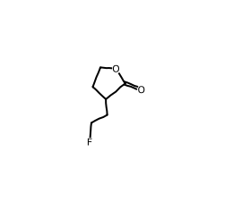 O=C1OCCC1CCF